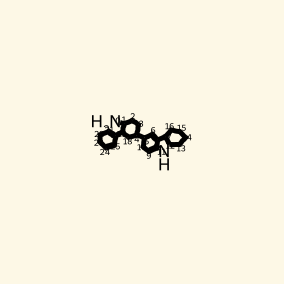 NC1CCC(C2C=C3C(=CC2)NC2CCCCC32)CC1C1=CCCC=C1